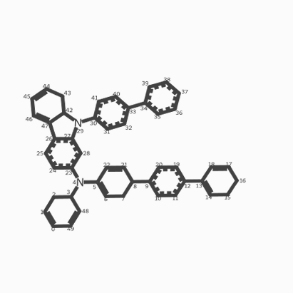 C1=CCC(N(C2=CCC(c3ccc(C4=CCCC=C4)cc3)C=C2)c2ccc3c(c2)N(c2ccc(-c4ccccc4)cc2)C2CC=CC=C32)C=C1